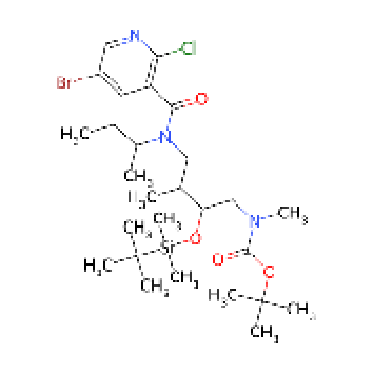 CCC(C)N(CC(C)C(CN(C)C(=O)OC(C)(C)C)O[Si](C)(C)C(C)(C)C)C(=O)c1cc(Br)cnc1Cl